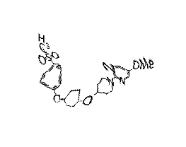 COc1cnc(N2CCC(O[C@H]3CC[C@H](Oc4ccc(S(C)(=O)=O)cc4)CC3)CC2)nc1